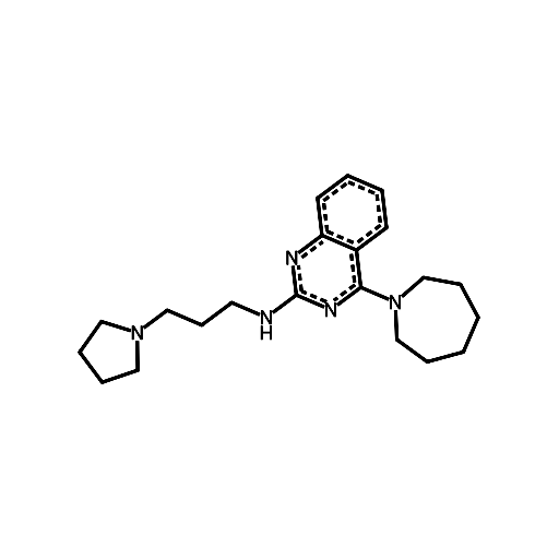 c1ccc2c(N3CCCCCC3)nc(NCCCN3CCCC3)nc2c1